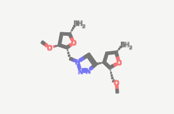 B[C@H]1C[C@@H](OC)[C@@H](Cn2cc([C@@H]3C[C@H](B)O[C@@H]3COC)nn2)O1